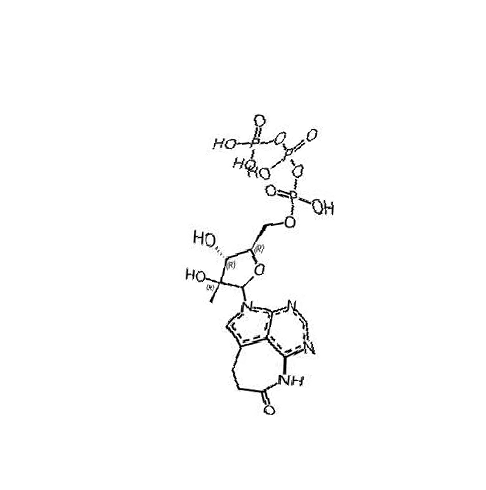 C[C@]1(O)C(n2cc3c4c(ncnc42)NC(=O)CC3)O[C@H](COP(=O)(O)OP(=O)(O)OP(=O)(O)O)[C@H]1O